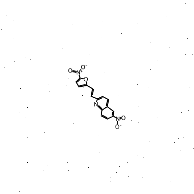 O=[N+]([O-])c1ccc2nc(C=Cc3ccc([N+](=O)[O-])o3)ccc2c1